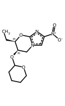 CC[C@H]1Oc2nc([N+](=O)[O-])cn2C[C@H]1OC1CCCCO1